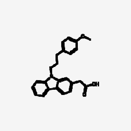 COc1ccc(CCSn2c3ccccc3c3ccc(CC(=O)O)cc32)cc1